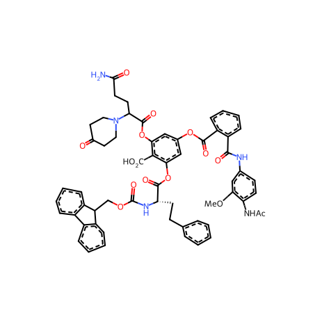 COc1cc(NC(=O)c2ccccc2C(=O)Oc2cc(OC(=O)C(CCC(N)=O)N3CCC(=O)CC3)c(C(=O)O)c(OC(=O)[C@H](CCc3ccccc3)NC(=O)OCC3c4ccccc4-c4ccccc43)c2)ccc1NC(C)=O